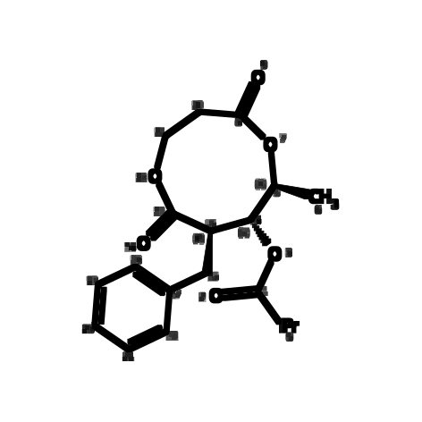 CC(C)C(=O)O[C@H]1[C@H](C)OC(=O)CCOC(=O)[C@@H]1Cc1ccccc1